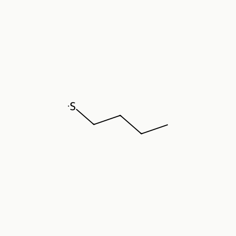 CCCC[S]